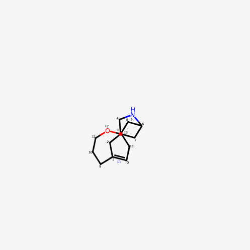 C1=C(\CC23CNC(C2)C3)CCCOCC/1